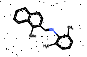 CNc1c(/C=N/c2c(C)cccc2C)ccc2ccccc12